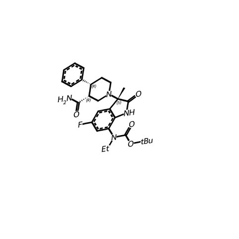 CCN(C(=O)OC(C)(C)C)c1cc(F)cc2c1NC(=O)[C@@]2(C)N1CC[C@@H](c2ccccc2)[C@@H](C(N)=O)C1